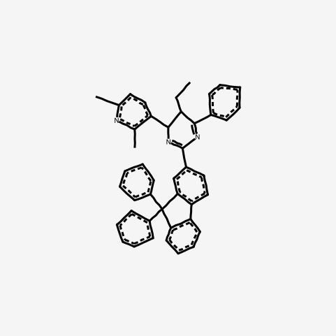 CCC1C(c2ccccc2)=NC(c2ccc3c(c2)C(c2ccccc2)(c2ccccc2)c2ccccc2-3)=NC1c1ccc(C)nc1C